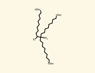 CCCCCCCCCCCCCCCCCCC(CC)C(N)(CCCCCCCCCCCCCCCCCC)CCCCCCCCCCCCCCCCCC